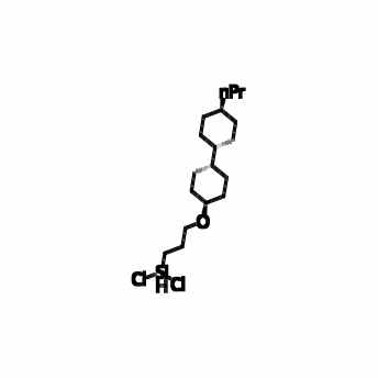 CCC[C@H]1CC[C@H]([C@H]2CC[C@H](OCCC[SiH](Cl)Cl)CC2)CC1